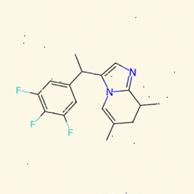 CC1=Cn2c(C(C)c3cc(F)c(F)c(F)c3)cnc2C(C)C1